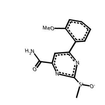 COc1ccccc1-c1cc(C(N)=O)nc([S+](C)[O-])n1